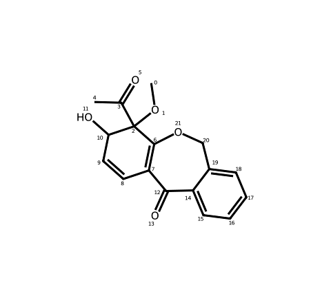 COC1(C(C)=O)C2=C(C=CC1O)C(=O)c1ccccc1CO2